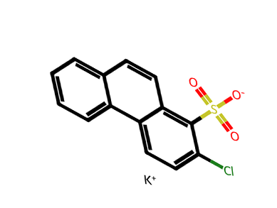 O=S(=O)([O-])c1c(Cl)ccc2c1ccc1ccccc12.[K+]